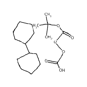 C1CCC(C2CCCCC2)CC1.CC(C)(C)OC(=O)OOC(=O)O